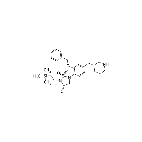 C[Si](C)(C)CCN1C(=O)CN(c2ccc(CC3CCCNC3)cc2OCc2ccccc2)S1(=O)=O